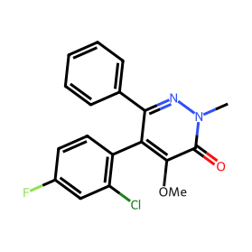 COc1c(-c2ccc(F)cc2Cl)c(-c2ccccc2)nn(C)c1=O